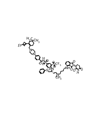 CCC12CC(C3=C(CN4CCN(c5ccc(C(=O)NS(=O)(=O)c6ccc(N[C@H](CCN(C)CCCCNc7cccc8c7C(=O)N(C7CCC(=O)NC7=O)C8=O)CSc7ccccc7)c(S(=O)(=O)C(F)(F)F)c6)cc5)CC4)CCC(C)(C)C3)(C1)C2